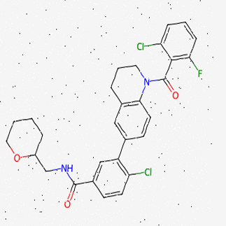 O=C(NCC1CCCCO1)c1ccc(Cl)c(-c2ccc3c(c2)CCCN3C(=O)c2c(F)cccc2Cl)c1